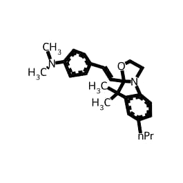 [CH2]CCc1ccc2c(c1)C(C)(C)C1(C=Cc3ccc(N(C)C)cc3)OCCN21